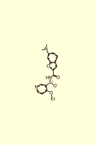 CCOc1ccncc1[S+]([O-])NC(=O)c1cc2ccc(N(C)C)cc2o1